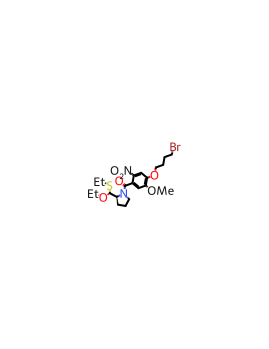 CCO[C@@H](SCC)[C@@H]1CCCN1C(=O)c1cc(OC)c(OCCCCBr)cc1[N+](=O)[O-]